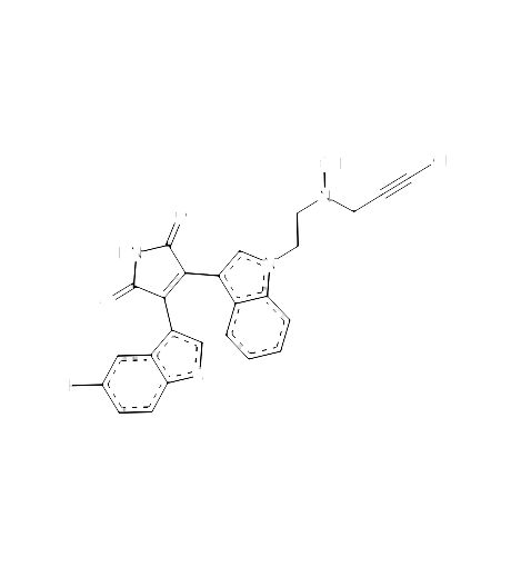 CC#CCN(C)CCn1cc(C2=C(c3csc4ccc(Cl)cc34)C(=O)NC2=O)c2ccccc21